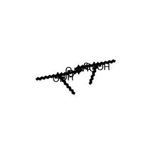 CCCCCCCCCCC(O)CN(CCCCC(=O)OCCN1CCN(CCSSCCCN(CC(O)CCCCCCCC)CC(O)CCCCCCCC)CC1)CC(O)CCCCCCCCCC